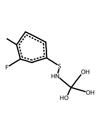 Cc1ccc(SNC(O)(O)O)cc1F